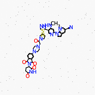 CNc1cc(-n2ccc3cc(C#N)cnc32)ncc1C1=NN=C[SH]1C1CCN(C(=O)CN2CCN(c3ccc4c(c3)C(=O)N(C3CCC(=O)NC3=O)C4=O)CC2)C1